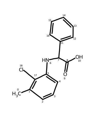 Cc1cccc(NC(C(=O)O)c2ccccc2)c1Cl